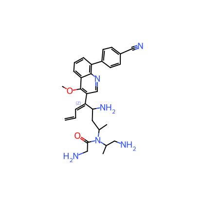 C=C/C=C(/c1cnc2c(-c3ccc(C#N)cc3)cccc2c1OC)C(N)CC(C)N(C(=O)CN)C(C)CN